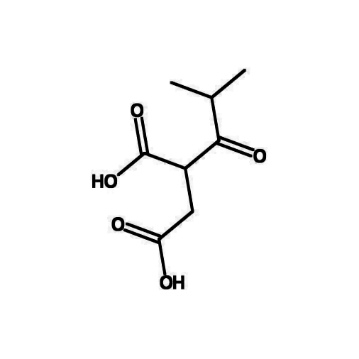 CC(C)C(=O)C(CC(=O)O)C(=O)O